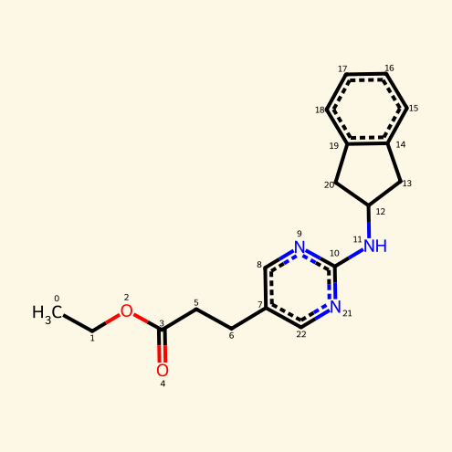 CCOC(=O)CCc1cnc(NC2Cc3ccccc3C2)nc1